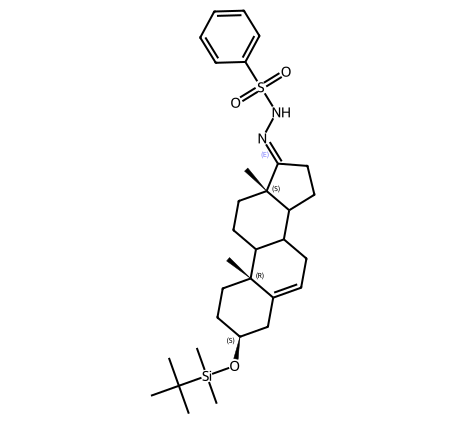 CC(C)(C)[Si](C)(C)O[C@H]1CC[C@@]2(C)C(=CCC3C2CC[C@]2(C)/C(=N/NS(=O)(=O)c4ccccc4)CCC32)C1